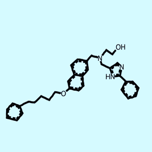 OCCN(Cc1ccc2cc(OCCCCCc3ccccc3)ccc2c1)Cc1cnc(-c2ccccc2)[nH]1